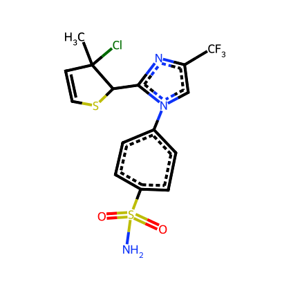 CC1(Cl)C=CSC1c1nc(C(F)(F)F)cn1-c1ccc(S(N)(=O)=O)cc1